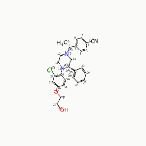 C[C@H](c1ccc(C#N)cc1)N1CCN(c2ccc(OCCO)cc2Cl)[C@H](c2ccccc2)C1